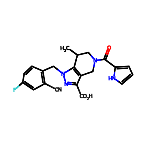 CC1CN(C(=O)c2ccc[nH]2)Cc2c(C(=O)O)nn(Cc3ccc(F)cc3C#N)c21